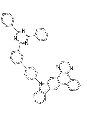 c1ccc(-c2nc(-c3ccccc3)nc(-c3cccc(-c4ccc(-n5c6ccccc6c6cc7c8ccccc8c8nccnc8c7cc65)cc4)c3)n2)cc1